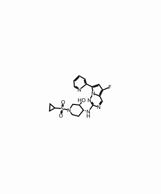 O=S(=O)(C1CC1)N1CC[C@@H](Nc2ncc3c(F)cc(-c4ccccn4)n3n2)[C@H](O)C1